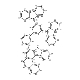 c1cc(-c2cc(-n3c4ccccc4c4ccccc43)cc(-n3c4ccccc4c4ccccc43)c2)cc(-c2nc3ccc4ccccc4c3c3c2sc2ccccc23)c1